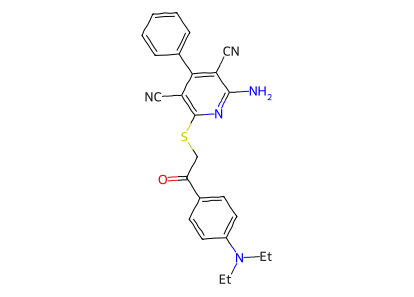 CCN(CC)c1ccc(C(=O)CSc2nc(N)c(C#N)c(-c3ccccc3)c2C#N)cc1